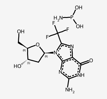 NP(O)O.Nc1nc2c(nc(C(F)(F)F)n2[C@H]2C[C@H](O)[C@@H](CO)O2)c(=O)[nH]1